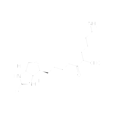 NCCCCC(C=O)C(=O)CCCC[C@@H]1SC[C@@H]2NC(=O)N[C@@H]21